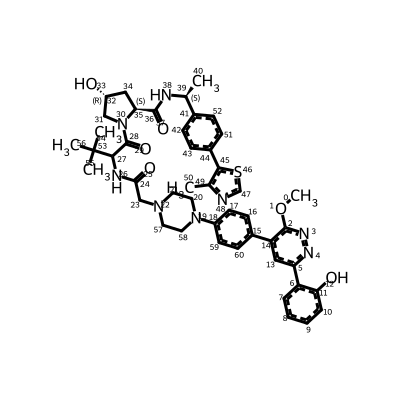 COc1nnc(-c2ccccc2O)cc1-c1ccc(N2CCN(CC(=O)NC(C(=O)N3C[C@H](O)C[C@H]3C(=O)N[C@@H](C)c3ccc(-c4scnc4C)cc3)C(C)(C)C)CC2)cc1